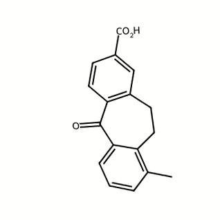 Cc1cccc2c1CCc1cc(C(=O)O)ccc1C2=O